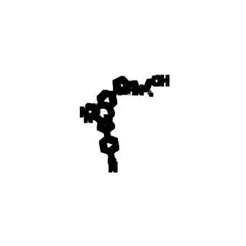 C[C@@H](CO)NCC1CCN(c2ccc3c(c2)Cn2cc(-c4ccc(C#N)cc4)cc2-c2nncn2-3)C1